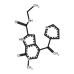 C=C(c1cccnc1)c1cn(C)c(=O)c2[nH]c(C(=O)NCC)cc12